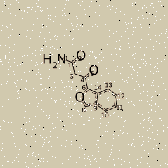 NC(=O)CC(=O)c1occ2ccccc12